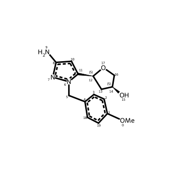 COc1ccc(Cn2nc(N)cc2[C@@H]2C[C@H](O)CO2)cc1